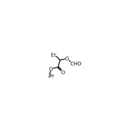 CCC(O[C]=O)C(=O)OC(C)C